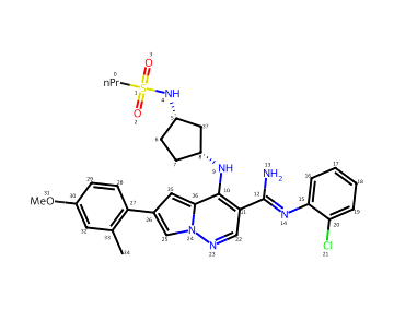 CCCS(=O)(=O)N[C@H]1CC[C@@H](Nc2c(/C(N)=N/c3ccccc3Cl)cnn3cc(-c4ccc(OC)cc4C)cc23)C1